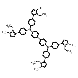 CCn1c(C)ccc1-c1ccc(N(c2ccc(-c3ccc(N(c4ccc(-c5ccc(C)n5CC)cc4)c4ccc(-c5ccc(C)n5CC)cc4)cc3)cc2)c2ccc(-c3ccc(C)n3CC)cc2)cc1